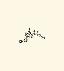 N#CC1CN(C(=O)CNC(=O)c2c[nH]c3ncc(-c4cc(-n5cccc5)ccn4)nc23)C1